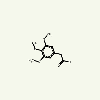 COc1cc(CC([O])=O)cc(OC)c1OC